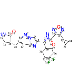 O=C(N[C@H](c1cn2ncc(C[C@@H]3CCNC3=O)cc2n1)C1CCC(F)(F)CC1)c1nonc1C1CC1